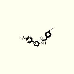 CC(C)c1ccc(CC(=O)N[C@@H]2CCN(c3cnc(C(F)(F)F)nc3)C2)cc1